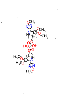 CCOc1cc2c(cc1OC)C(c1cnc(OC)nc1)=N[C@H]1CC[C@H](OC(=O)C(O)C(O)C(=O)O[C@H]3CC[C@@H]4N=C(c5cnc(OC)nc5)c5cc(OC)c(OCC)cc5[C@@H]4C3)C[C@@H]21